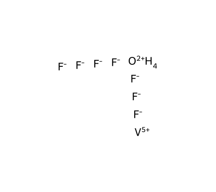 [F-].[F-].[F-].[F-].[F-].[F-].[F-].[OH4+2].[V+5]